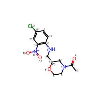 CC(=O)N1CCO[C@@H](CNc2ccc(Cl)cc2[N+](=O)[O-])C1